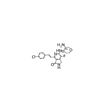 N[C@H]1COCC[C@H]1Nc1nc(C=Cc2ccc(Cl)cc2)c2c(c1F)CNC2=O